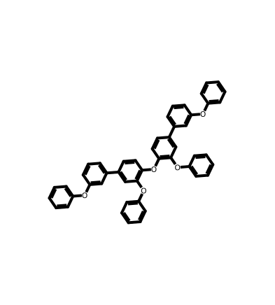 c1ccc(Oc2cccc(-c3ccc(Oc4ccc(-c5cccc(Oc6ccccc6)c5)cc4Oc4ccccc4)c(Oc4ccccc4)c3)c2)cc1